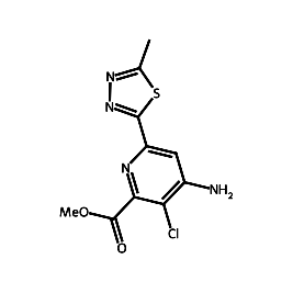 COC(=O)c1nc(-c2nnc(C)s2)cc(N)c1Cl